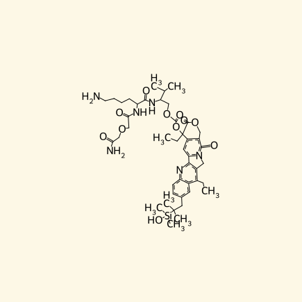 CCc1c2c(nc3ccc(CC(C)(C)[Si](C)(C)O)cc13)-c1cc3c(c(=O)n1C2)COC(=O)C3(CC)OC(=O)OCC(NC(=O)C(CCCCN)NC(=O)COCC(N)=O)C(C)C